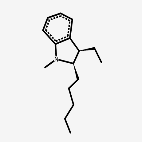 CCCCC[C@@H]1[C@H](CC)c2ccccc2N1C